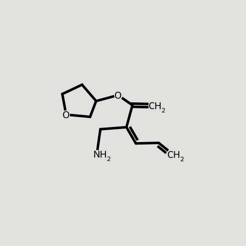 C=C/C=C(/CN)C(=C)OC1CCOC1